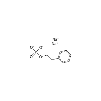 O=P([O-])([O-])OCCc1ccccc1.[Na+].[Na+]